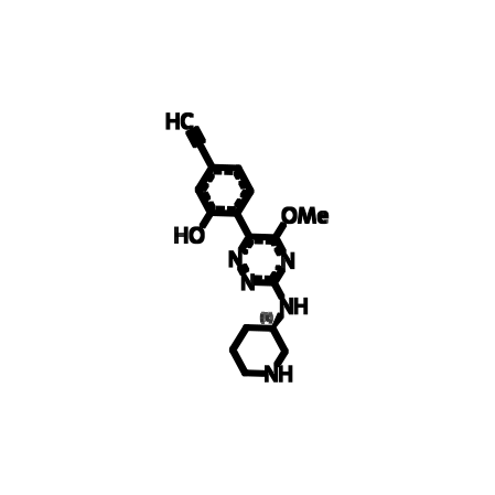 C#Cc1ccc(-c2nnc(N[C@@H]3CCCNC3)nc2OC)c(O)c1